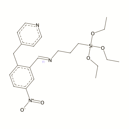 CCO[Si](CCC/N=C/c1cc([N+](=O)[O-])ccc1Cc1ccncc1)(OCC)OCC